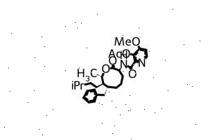 COc1ccnc(C(=O)N[C@H]2CCC[C@H](Cc3ccccc3)[C@@H](CCC(C)C)[C@H](C)OC2=O)c1OC(C)=O